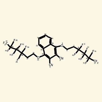 N#Cc1c(C#N)c(OCCC(F)(F)C(F)(F)C(F)(F)C(F)(F)F)c2ccccc2c1OCCC(F)(F)C(F)(F)C(F)(F)C(F)(F)F